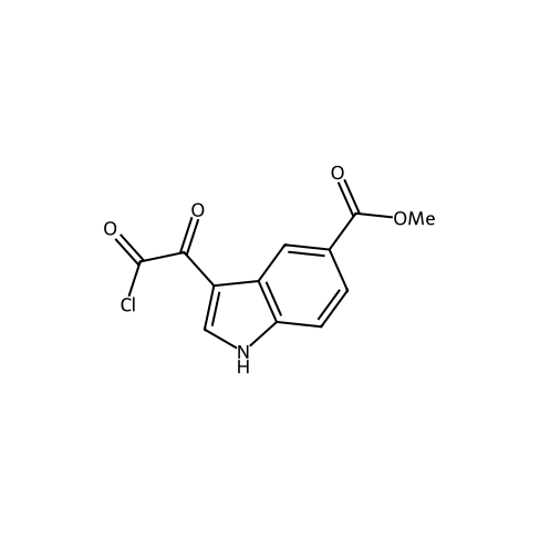 COC(=O)c1ccc2[nH]cc(C(=O)C(=O)Cl)c2c1